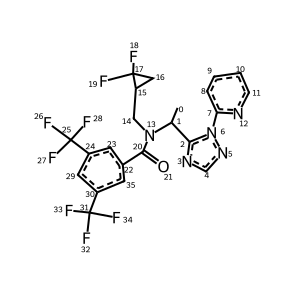 CC(c1ncnn1-c1ccccn1)N(CC1CC1(F)F)C(=O)c1cc(C(F)(F)F)cc(C(F)(F)F)c1